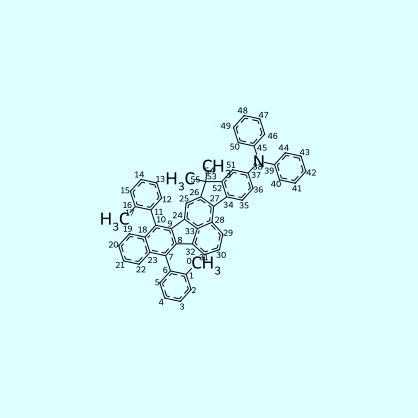 Cc1ccccc1-c1c2c(c(-c3ccccc3C)c3ccccc13)-c1cc3c(c4cccc-2c14)-c1ccc(N(c2ccccc2)c2ccccc2)cc1C3(C)C